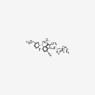 C=Cc1cccc(C(C)c2c(F)cc(C#N)c3c2c(C)c(C)n3COCCS(C)(C)C)n1